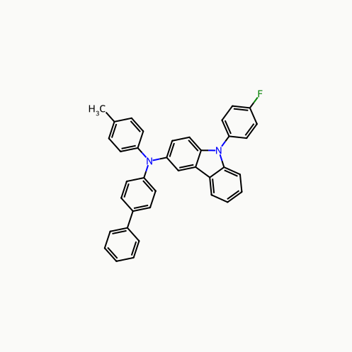 Cc1ccc(N(c2ccc(-c3ccccc3)cc2)c2ccc3c(c2)c2ccccc2n3-c2ccc(F)cc2)cc1